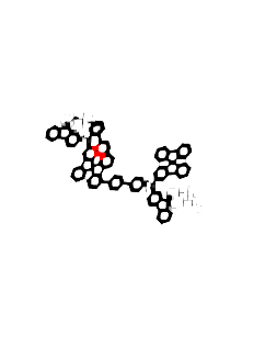 CC1(C)c2ccccc2-c2ccc(N(c3ccc(-c4ccc(-c5cccc6c5-c5ccccc5C65c6ccccc6-c6cc(N(c7ccc8c(c7)C(C)(C)c7ccccc7-8)c7ccccc7-c7ccccc7)ccc65)cc4)cc3)c3ccc4c(c3)-c3ccccc3C43c4ccccc4-c4ccccc43)cc21